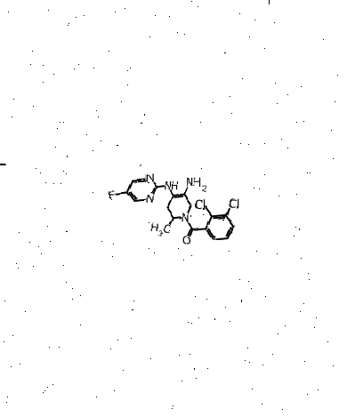 CC1CC(Nc2ncc(F)cn2)=C(N)CN1C(=O)c1cccc(Cl)c1Cl